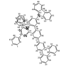 c1ccc(-c2nc(-c3ccccc3)nc(-c3cc(-c4ccc5c6ccccc6c6ccccc6c5c4)ccc3-c3cc(-n4c5ccccc5c5ccccc54)cc4c3sc3ccccc34)n2)cc1